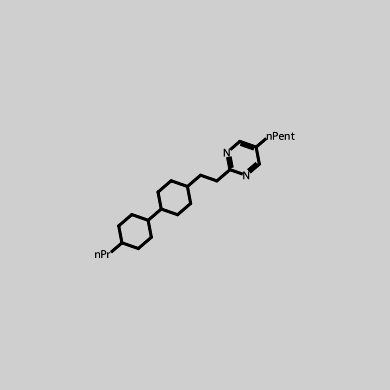 CCCCCc1cnc(CCC2CCC(C3CCC(CCC)CC3)CC2)nc1